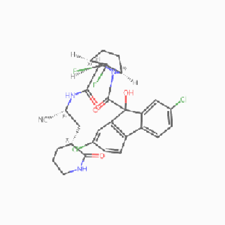 N#C[C@@H](C[C@H]1CCCNC1=O)NC(=O)[C@H]1[C@H]2CC[C@H](CC2(F)F)N1C(=O)C1(O)c2cc(Cl)ccc2-c2ccc(Cl)cc21